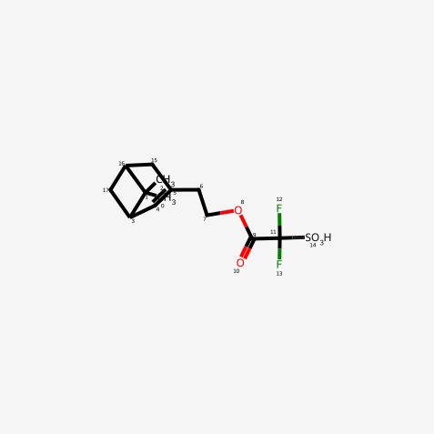 CC1(C)C2C=C(CCOC(=O)C(F)(F)S(=O)(=O)O)CC1C2